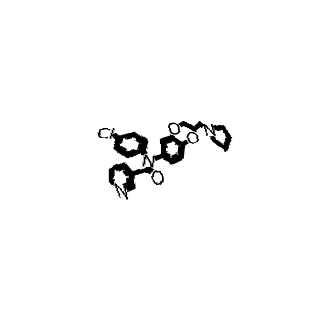 O=C(c1cccnc1)N(c1ccc(Cl)cc1)c1ccc2c(c1)OCC(CN1CCCC1)O2